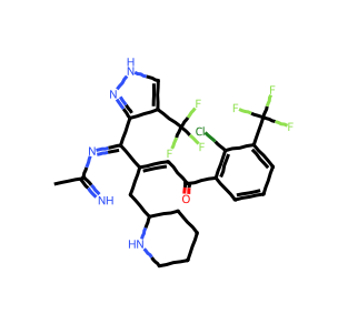 CC(=N)/N=C(\C(=C\C(=O)c1cccc(C(F)(F)F)c1Cl)CC1CCCCN1)c1n[nH]cc1C(F)(F)F